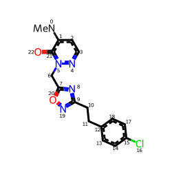 CNc1ccnn(Cc2nc(CCc3ccc(Cl)cc3)no2)c1=O